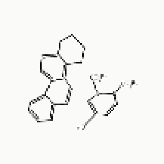 CCOC(=O)N1C=CC(O)=CN1C(=O)OCC.c1ccc2c(c1)ccc1c3c(ccc12)CCCC3